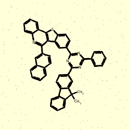 CC1(C)c2ccccc2-c2ccc(-c3nc(-c4ccccc4)nc(-c4ccc5sc6c7ccccc7nc(-c7ccc8ccccc8c7)c6c5c4)n3)cc21